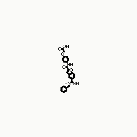 N=C(NCc1ccccc1)c1ccc2oc(C(=O)Nc3ccc(OCC(=O)O)cc3)cc2c1